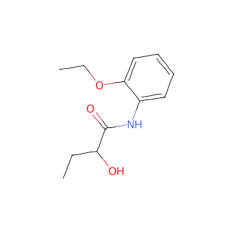 CCOc1ccccc1NC(=O)C(O)CC